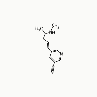 CNC(C)C/C=C/c1cncc(C#N)c1